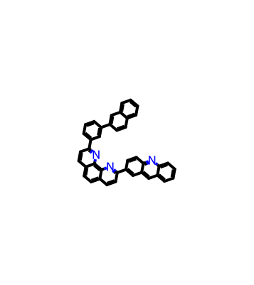 c1cc(-c2ccc3ccccc3c2)cc(-c2ccc3ccc4ccc(-c5ccc6nc7ccccc7cc6c5)nc4c3n2)c1